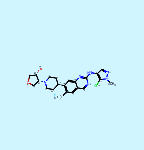 Cc1cc2cnc(Nc3cnn(C)c3Cl)nc2cc1[C@@H]1CCN([C@@H]2COC[C@@H]2O)C[C@H]1F